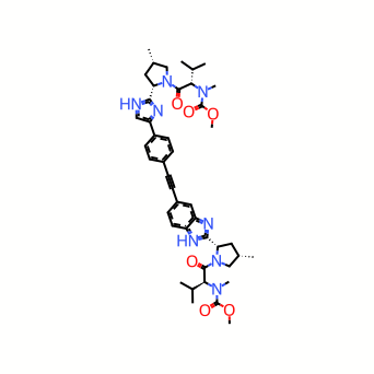 COC(=O)N(C)[C@H](C(=O)N1C[C@@H](C)C[C@H]1c1nc(-c2ccc(C#Cc3ccc4[nH]c([C@@H]5C[C@H](C)CN5C(=O)[C@H](C(C)C)N(C)C(=O)OC)nc4c3)cc2)c[nH]1)C(C)C